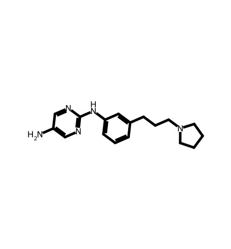 Nc1cnc(Nc2cccc(CCCN3CCCC3)c2)nc1